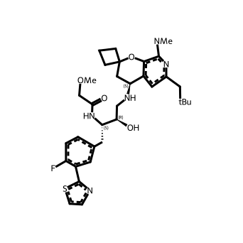 CNc1nc(CC(C)(C)C)cc2c1OC1(CCC1)C[C@@H]2NC[C@@H](O)[C@H](Cc1ccc(F)c(-c2nccs2)c1)NC(=O)COC